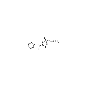 C=CCS(=O)(=O)OC(=O)C(Cl)Cc1ccccc1